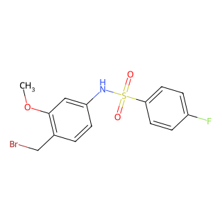 COc1cc(NS(=O)(=O)c2ccc(F)cc2)ccc1CBr